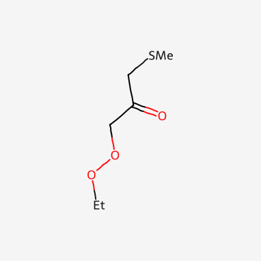 CCOOCC(=O)CSC